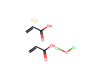 C=CC(=O)O.C=CC(=O)O.ClOCl.S